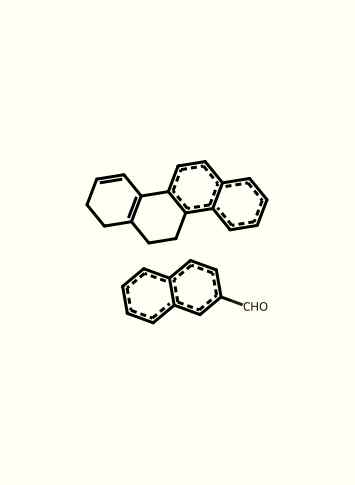 C1=CC2=C(CC1)CCc1c2ccc2ccccc12.O=Cc1ccc2ccccc2c1